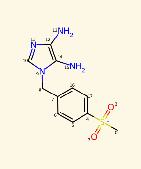 CS(=O)(=O)c1ccc(Cn2cnc(N)c2N)cc1